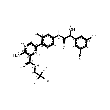 Cc1cc(NC(=O)C(O)c2cc(F)cc(F)c2)ccc1-c1cnc(N)c(C(=O)NCC(F)(F)F)n1